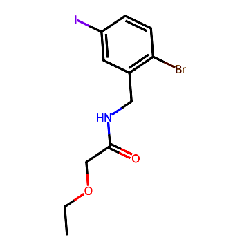 CCOCC(=O)NCc1cc(I)ccc1Br